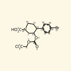 O=C(OCC(Cl)(Cl)Cl)OC1CN(C(=O)O)CCC1c1ccc(Br)cc1